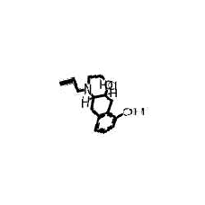 C=CCN1CCO[C@H]2Cc3c(O)cccc3C[C@@H]21.Cl